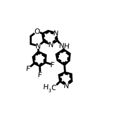 Cc1cc(-c2ccc(Nc3ncc4c(n3)N(c3cc(F)c(F)c(F)c3)CCO4)cc2)ccn1